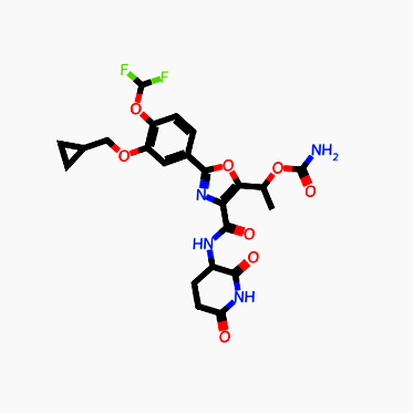 CC(OC(N)=O)c1oc(-c2ccc(OC(F)F)c(OCC3CC3)c2)nc1C(=O)NC1CCC(=O)NC1=O